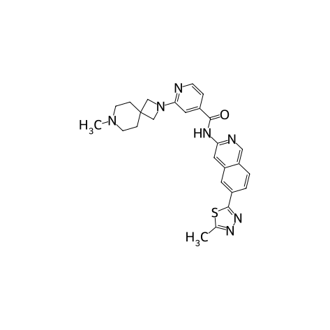 Cc1nnc(-c2ccc3cnc(NC(=O)c4ccnc(N5CC6(CCN(C)CC6)C5)c4)cc3c2)s1